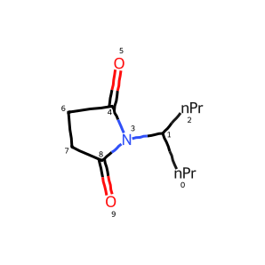 CCCC(CCC)N1C(=O)CCC1=O